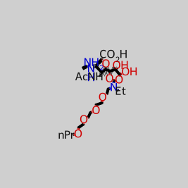 C=C(N)N[C@@H]1C=C(C(=O)O)O[C@H]([C@H](OC(=O)N(CC)CCOCCOCCOCCOCCC)[C@H](O)CO)[C@H]1NC(C)=O